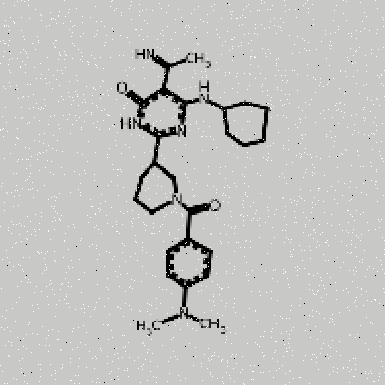 CC(=N)c1c(NC2CCCCC2)nc(C2CCCN(C(=O)c3ccc(N(C)C)cc3)C2)[nH]c1=O